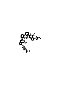 CCC1CN([C@@H]2CCc3cc(-c4cccc(-c5cccc(-c6cc7c(c(OC)n6)[C@@H](N6CC8(CN(C(C)=O)C8)C6)CC7)c5Cl)c4Cl)nc(OC)c32)C1